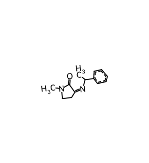 CC(N=C1CCN(C)C1=O)c1ccccc1